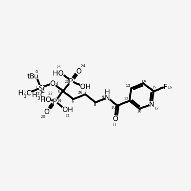 CC(C)(C)[Si](C)(C)OC(CCCNC(=O)c1ccc(F)nc1)(P(=O)(O)O)P(=O)(O)O